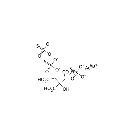 O=C(O)CC(O)(CC(=O)O)C(=O)O.O=S([O-])([O-])=S.O=S([O-])([O-])=S.O=S([O-])([O-])=S.[Au+3].[Au+3]